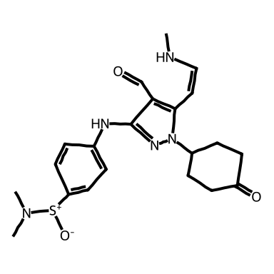 CN/C=C\c1c(C=O)c(Nc2ccc([S+]([O-])N(C)C)cc2)nn1C1CCC(=O)CC1